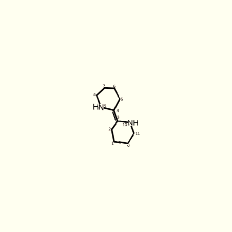 C1CCC(=C2CCCCN2)NC1